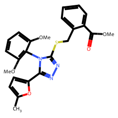 COC(=O)c1ccccc1CSc1nnc(-c2ccc(C)o2)n1-c1c(OC)cccc1OC